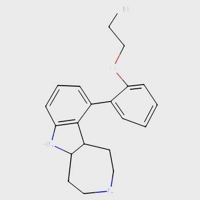 CCCOc1ccccc1-c1cccc2c1C1CCNCCC1N2